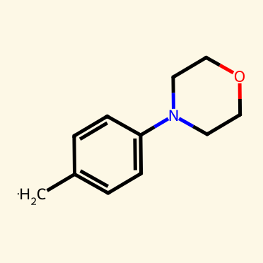 [CH2]c1ccc(N2CCOCC2)cc1